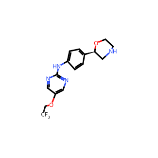 FC(F)(F)COc1cnc(Nc2ccc([C@@H]3CNCCO3)cc2)nc1